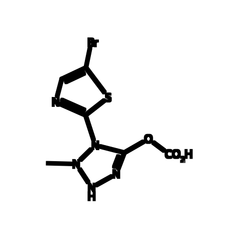 CN1NN=C(OC(=O)O)N1c1ncc(Br)s1